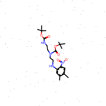 Cc1cc(NCCN(CCNC(=O)OC(C)(C)C)C(=O)OC(C)(C)C)c([N+](=O)[O-])cc1C